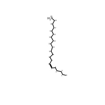 CCCCC/C=C\CCCCCCCCCCCCCN